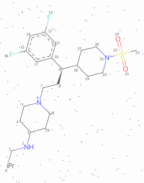 CC(C)CNC1CCN(CC[C@@H](c2cc(F)cc(F)c2)C2CCN(S(C)(=O)=O)CC2)CC1